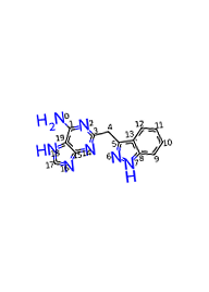 Nc1nc(Cc2n[nH]c3ccccc23)nc2nc[nH]c12